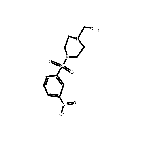 CCN1CCN(S(=O)(=O)c2[c]ccc([N+](=O)[O-])c2)CC1